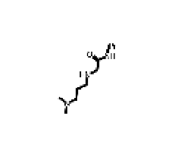 CC(C)NC(=O)CNCCCN(C)C